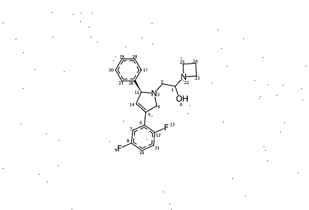 OC(CN1CC(c2cc(F)ccc2F)=C[C@H]1c1ccccc1)N1CCC1